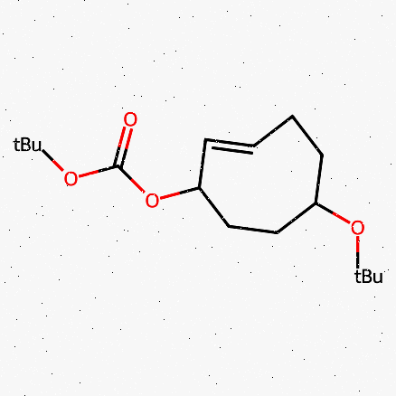 CC(C)(C)OC(=O)OC1/C=C/CCC(OC(C)(C)C)CC1